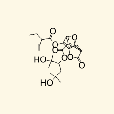 CCC(I)C(=O)Oc1c2c3oc1c(C(=O)OC(CC(C)(C)O)C(C)(C)O)c3C(=O)O2